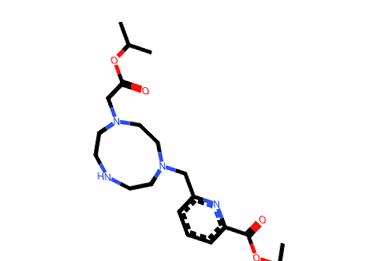 CC(C)OC(=O)CN1CCNCCN(Cc2cccc(C(=O)OC(C)(C)C)n2)CC1